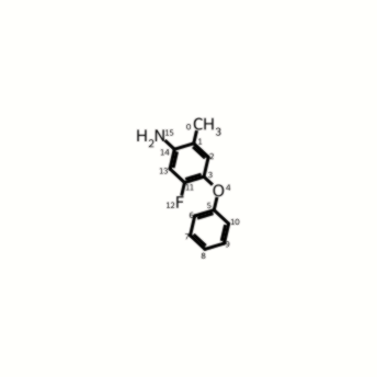 Cc1cc(Oc2ccccc2)c(F)cc1N